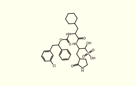 O=C(NC(CC1CCCCC1)C(=O)NC(CC1CCNC1=O)C(O)S(=O)(=O)O)OC(Cc1cccc(Cl)c1)c1ccccc1